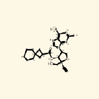 C#C[C@]1(CO)OCC(n2cnc3c(N)nc(F)nc32)[C@@H]1OC(=O)C1CC2(CCCCC2)C1